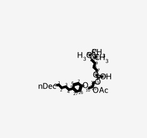 CCCCCCCCCCCCCCc1ccc(OCC(COP(O)OCCCC[N+](C)(C)C)OC(C)=O)cc1